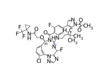 CC(C)(C)CCN/C1=N\C(F)c2ncnn2-c2cc(ccc2Cl)[C@@H](OCC(=O)NC2(C(F)(F)F)CC2)N1C(=O)c1ccc(-c2cnn(S(C)(=O)=O)c2)cc1F